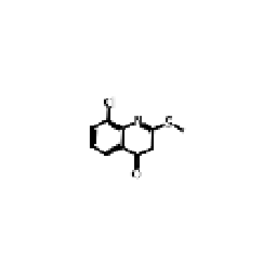 CSC1=Nc2c(Cl)cccc2C(=O)C1